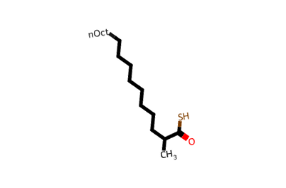 CCCCCCCCCCCCCCCCC(C)C(=O)S